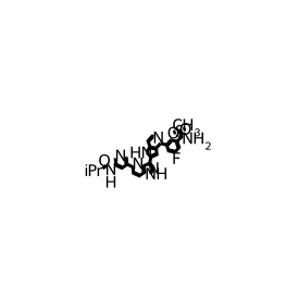 CC(C)C(=O)Nc1cncc(-c2ccc3[nH]nc(-c4cc5c(-c6cc(F)cc(C(N)S(C)(=O)=O)c6)nccc5[nH]4)c3n2)c1